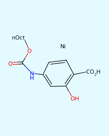 CCCCCCCCOC(=O)Nc1ccc(C(=O)O)c(O)c1.[Ni]